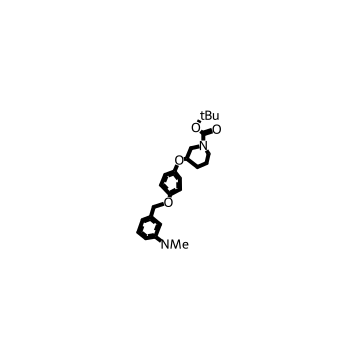 CNc1cccc(COc2ccc(OC3CCCN(C(=O)OC(C)(C)C)C3)cc2)c1